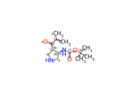 C=C(C)C(=O)[C@@H]1CNC[C@@H]1NC(=O)OC(C)(C)C